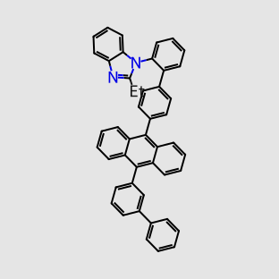 CCc1nc2ccccc2n1-c1ccccc1-c1ccc(-c2c3ccccc3c(-c3cccc(-c4ccccc4)c3)c3ccccc23)cc1